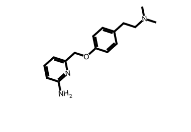 CN(C)CCc1ccc(OCc2cccc(N)n2)cc1